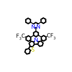 FC(F)(F)c1cccc(-c2cc(-c3nc(-c4ccccc4)cc(-c4ccccc4)n3)cc(-c3cccc(C(F)(F)F)c3)c2-n2c3ccccc3c3c4sc5ccccc5c4ccc32)c1